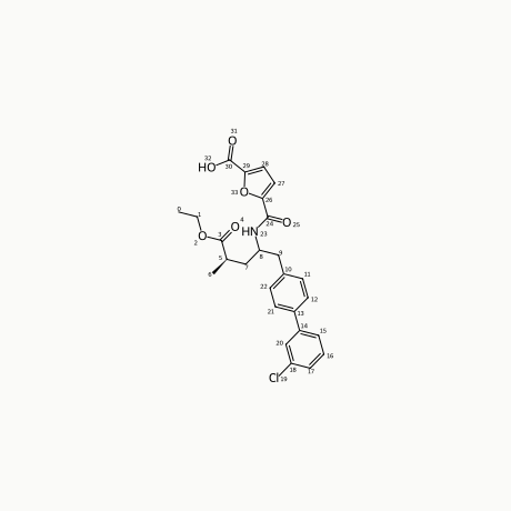 CCOC(=O)[C@H](C)CC(Cc1ccc(-c2cccc(Cl)c2)cc1)NC(=O)c1ccc(C(=O)O)o1